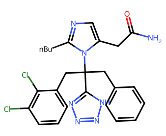 CCCCc1ncc(CC(N)=O)n1C(Cc1ccccc1)(Cc1cccc(Cl)c1Cl)c1nnn[nH]1